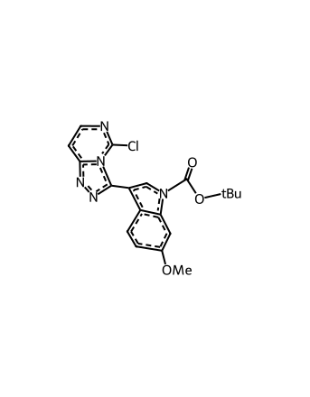 COc1ccc2c(-c3nnc4ccnc(Cl)n34)cn(C(=O)OC(C)(C)C)c2c1